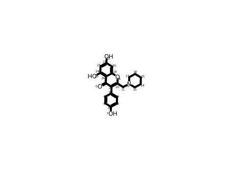 O=c1c(-c2ccc(O)cc2)c(CN2CCCCC2)oc2cc(O)cc(O)c12